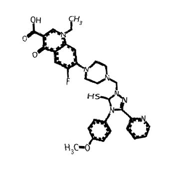 CCn1cc(C(=O)O)c(=O)c2cc(F)c(N3CCN(CN4N=C(c5ccccn5)N(c5ccc(OC)cc5)C4S)CC3)cc21